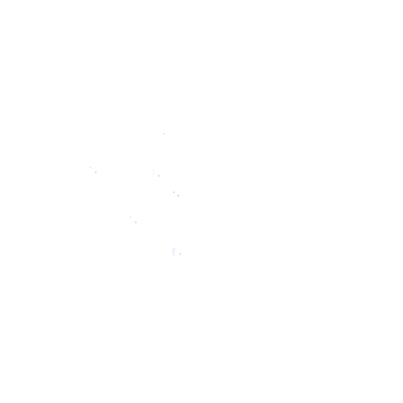 Cc1ccc(C(=O)n2nc(Nc3ccc4c(c3)OCCO4)nc2N)cc1